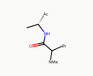 CNC(C(=O)N[C@H](C)C(C)=O)C(C)C